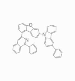 c1ccc(-c2ccc3c(c2)c2ccccc2n3-c2ccc3c(c2)oc2cccc(-c4cc5ccccc5c(-c5ccccc5)n4)c23)cc1